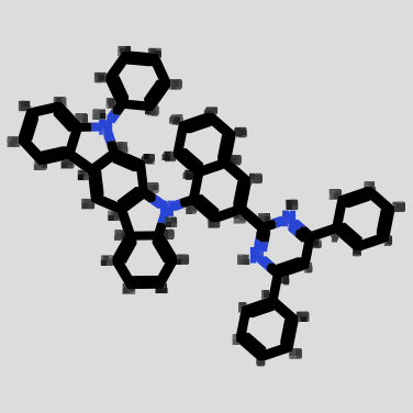 c1ccc(-c2cc(-c3ccccc3)nc(-c3cc(-n4c5ccccc5c5cc6c7ccccc7n(-c7ccccc7)c6cc54)c4ccccc4c3)n2)cc1